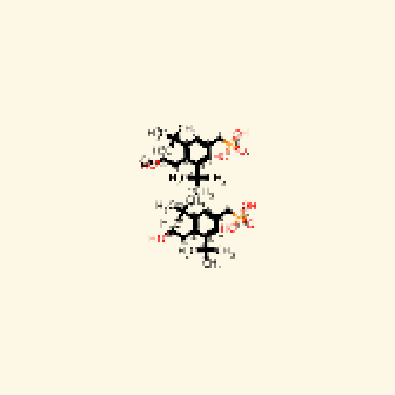 CC(C)(C)c1cc(CP(=O)(O)O)cc(C(C)(C)C)c1CCO.CC(C)(C)c1cc(CP(=O)(O)O)cc(C(C)(C)C)c1CCO.[Ca]